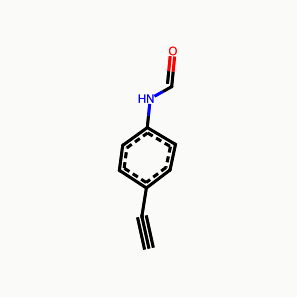 C#Cc1ccc(NC=O)cc1